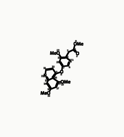 COC(=O)Cc1ncc(Oc2ccnc3cc(OC)cc(OC)c23)cc1OC